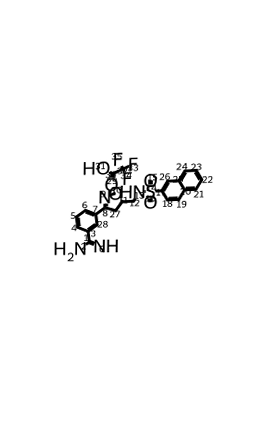 N=C(N)c1cccc(C2=NOC(CNS(=O)(=O)c3ccc4ccccc4c3)C2)c1.O=C(O)C(F)(F)F